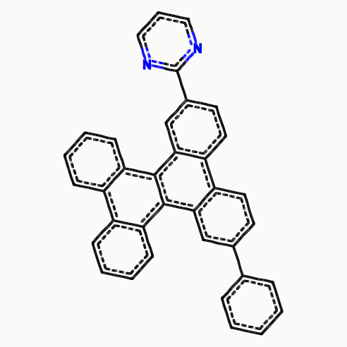 c1ccc(-c2ccc3c4ccc(-c5ncccn5)cc4c4c5ccccc5c5ccccc5c4c3c2)cc1